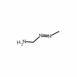 CN=NCN